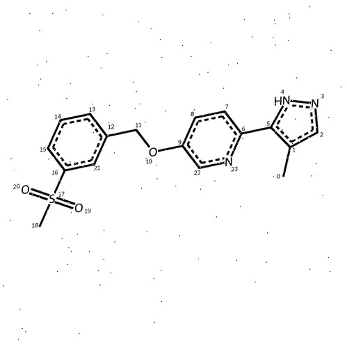 Cc1cn[nH]c1-c1ccc(OCc2cccc(S(C)(=O)=O)c2)cn1